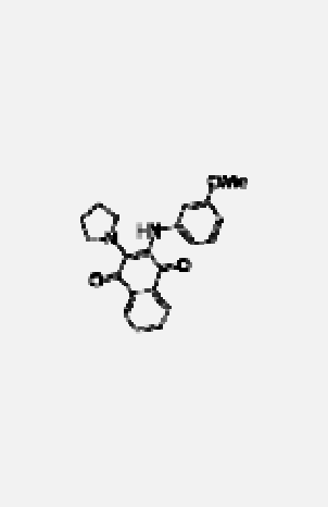 COc1cccc(NC2=C(N3CCCC3)C(=O)c3ccccc3C2=O)c1